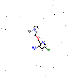 CN(C)CCOCc1ncc(Br)cc1N